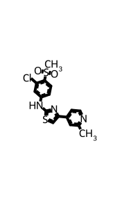 Cc1cc(-c2csc(Nc3ccc(S(C)(=O)=O)c(Cl)c3)n2)ccn1